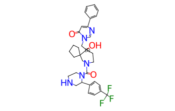 O=C(N1CC[C@@](O)(Cn2cnc(-c3ccccc3)cc2=O)C2(CCCC2)C1)N1CCNCC1c1ccc(C(F)(F)F)cc1